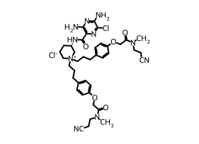 CN(CCC#N)C(=O)COc1ccc(CCC[N+]2(CCCc3ccc(OCC(=O)N(C)CCC#N)cc3)CCC[C@H](NC(=O)c3nc(Cl)c(N)nc3N)C2)cc1.[Cl-]